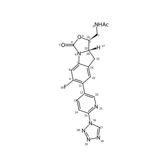 CC(=O)NC[C@@H]1OC(=O)N2c3cc(F)c(-c4ccc(-n5cnnn5)nc4)cc3C[C@@H]12